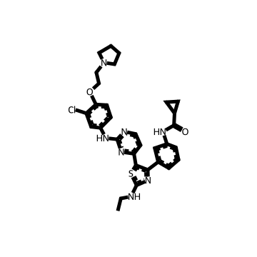 CCNc1nc(-c2cccc(NC(=O)C3CC3)c2)c(-c2ccnc(Nc3ccc(OCCN4CCCC4)c(Cl)c3)n2)s1